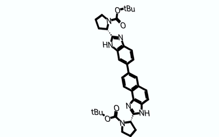 CC(C)(C)OC(=O)N1CCC[C@H]1c1nc2ccc(-c3ccc4c(ccc5[nH]c([C@@H]6CCCN6C(=O)OC(C)(C)C)nc54)c3)cc2[nH]1